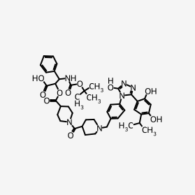 CC(C)c1cc(-c2nnc(O)n2-c2ccc(CN3CCC(C(=O)N4CCC(C(=O)OC(C(=O)O)C(NC(=O)OC(C)(C)C)c5ccccc5)CC4)CC3)cc2)c(O)cc1O